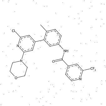 Cc1ccc(NC(=O)c2ccnc(C(F)(F)F)c2)cc1-c1cc(Cl)nc(N2CCOCC2)c1